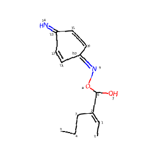 C/C=C(\CCC)C(O)ON=C1C=CC(=N)C=C1